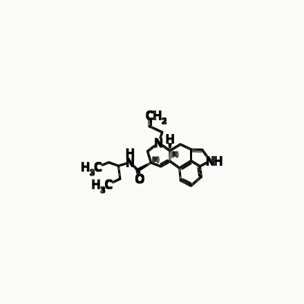 C=CCN1C[C@H](C(=O)NC(CC)CC)C=C2c3cccc4[nH]cc(c34)C[C@H]21